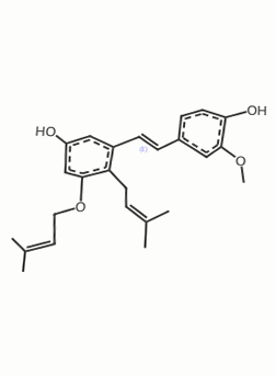 COc1cc(/C=C/c2cc(O)cc(OCC=C(C)C)c2CC=C(C)C)ccc1O